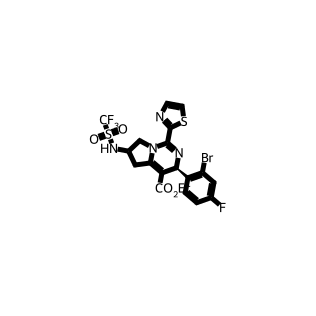 CCOC(=O)C1=C2CC(NS(=O)(=O)C(F)(F)F)CN2C(c2nccs2)=N[C@H]1c1ccc(F)cc1Br